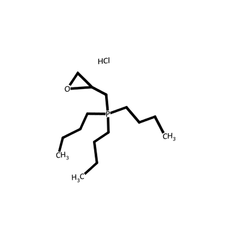 CCCC[P](CCCC)(CCCC)CC1CO1.Cl